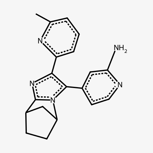 Cc1cccc(-c2nc3n(c2-c2ccnc(N)c2)C2CCC3C2)n1